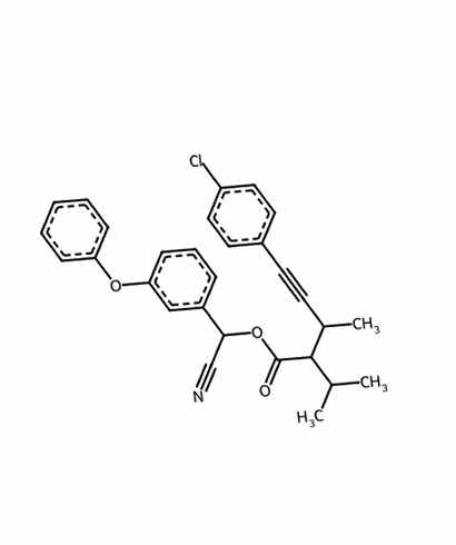 CC(C)C(C(=O)OC(C#N)c1cccc(Oc2ccccc2)c1)C(C)C#Cc1ccc(Cl)cc1